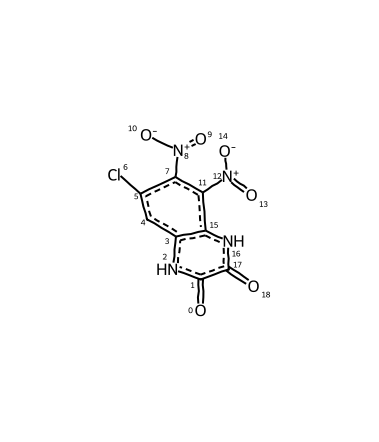 O=c1[nH]c2cc(Cl)c([N+](=O)[O-])c([N+](=O)[O-])c2[nH]c1=O